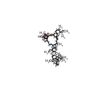 CCC(C)[C@H]1O[C@]2(C=C[C@@H]1C)C[C@@H]1C[C@@H](C/C=C(\C)[C@@H](O[C@H]3C[C@H](OC)[C@@H](O[C@H]4C[C@H](OC)[C@](NC(=O)C(F)(F)F)(C(=O)NC(C)C)[C@H](C)O4)[C@H](C)O3)C(C)/C=C/C=C3\CO[C@@H]4[C@H](O)C(C)=C[C@@H](C(=O)O1)[C@]34O)O2